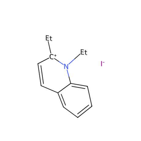 CC[c+]1ccc2ccccc2n1CC.[I-]